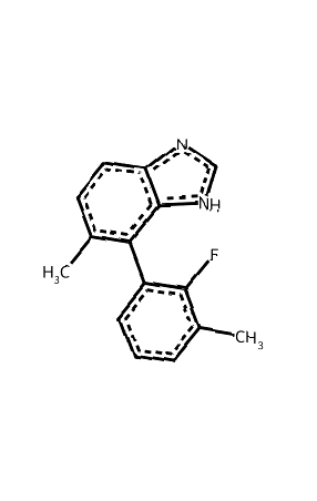 Cc1cccc(-c2c(C)ccc3nc[nH]c23)c1F